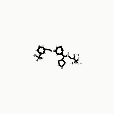 OC(CNC(c1cccc(OCc2cccc(C(F)(F)F)c2)c1)C1CCCC1)C(F)(F)F